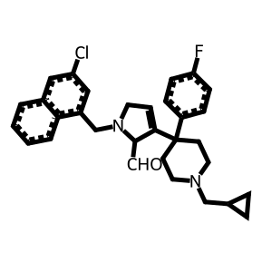 O=CC1C(C2(c3ccc(F)cc3)CCN(CC3CC3)CC2)=CCN1Cc1cc(Cl)cc2ccccc12